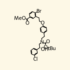 COC(=O)c1ccc(Br)c(CCOc2ccc(CCN(C[C@H](O)c3cccc(Cl)c3)C(=O)OC(C)(C)C)cc2)c1